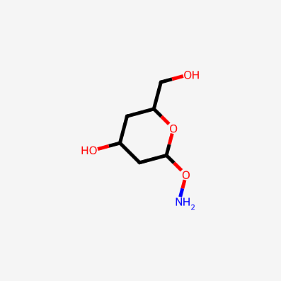 NOC1CC(O)CC(CO)O1